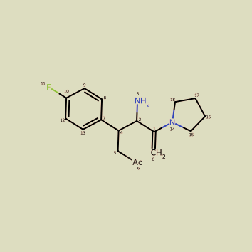 C=C(C(N)C(CC(C)=O)c1ccc(F)cc1)N1CCCC1